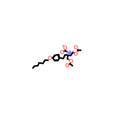 CCCCCCCOc1ccc(CCC(CCOC(C)=O)(COC(C)=O)NC(=O)OC)cc1